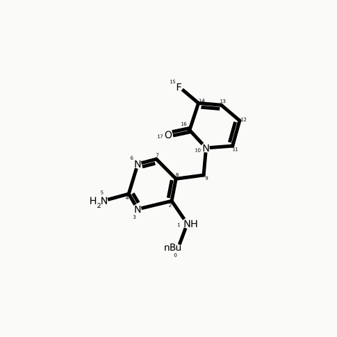 CCCCNc1nc(N)ncc1Cn1cccc(F)c1=O